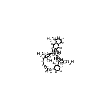 Cc1cc2cc(C)c1CCOC(=O)Nc1cccc(c1)[C@@H](CC(=O)O)NC(=O)[C@@H]2Nc1ccc2c(N)nccc2c1